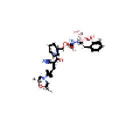 C[C@@H]1CN(C(C)(C)/C=C(\C#N)C(=O)N2C3CCC2(COC(=O)N[C@@H](Cc2ccccc2)B(O)O)CC3)C[C@@H](C)O1